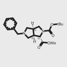 COC(=O)[C@@H]1[C@H]2CN(Cc3ccccc3)C[C@H]2CN1C(=O)OC(C)(C)C